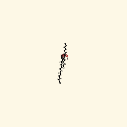 Br.Br.C.C.CCCCCCCCCCCCCC.CCCCCCCCCCCCCC